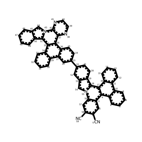 N#Cc1cc2c3c4ccccc4c4ccccc4c3c3c4ccc(-c5ccc6c(c5)c5ccccc5c5c6c6nccnc6n6cc7ccccc7c56)cc4cn3c2cc1C#N